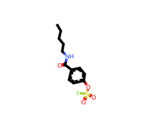 CCCCCNC(=O)c1ccc(OS(=O)(=O)F)cc1